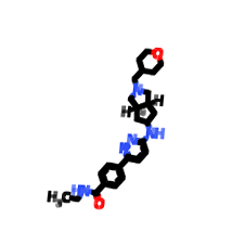 CCNC(=O)c1ccc(-c2ccc(NC3C[C@@H]4CN(CC5CCOCC5)C[C@@H]4C3)nn2)cc1